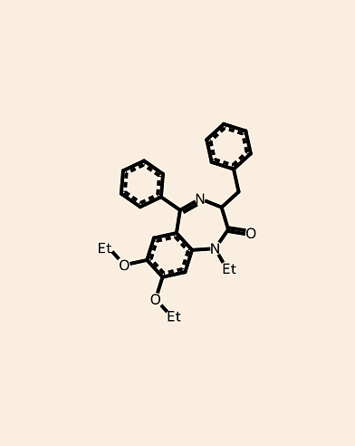 CCOc1cc2c(cc1OCC)N(CC)C(=O)C(Cc1ccccc1)N=C2c1ccccc1